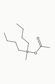 [CH2]C(=O)O[Si](C)(CCCC)CCCC